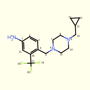 Nc1ccc(CN2CCN(CC3CC3)CC2)c(C(F)(F)F)c1